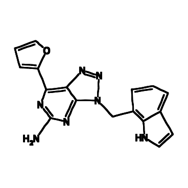 Nc1nc(-c2ccco2)c2nnn(Cc3cccc4cc[nH]c34)c2n1